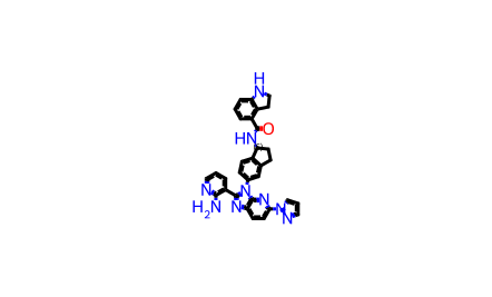 Nc1ncccc1-c1nc2ccc(-n3cccn3)nc2n1-c1ccc2c(c1)CC[C@@H]2NC(=O)c1cccc2c1CCN2